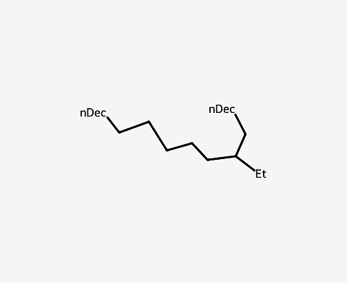 [CH2]CC(CCCCCCCCCCC)CCCCCCCCCCCCCCC